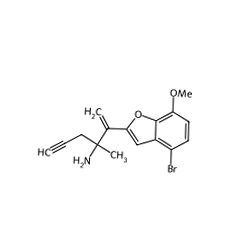 C#CCC(C)(N)C(=C)c1cc2c(Br)ccc(OC)c2o1